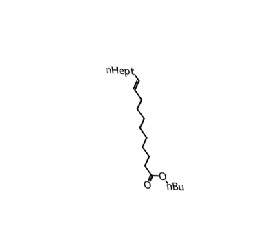 CCCCCCCC=CCCCCCCCCC(=O)OCCCC